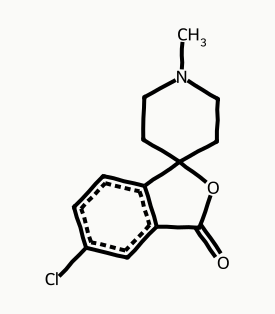 CN1CCC2(CC1)OC(=O)c1cc(Cl)ccc12